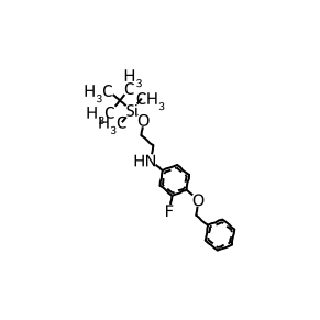 CC(C)(C)[Si](C)(C)OCCNc1ccc(OCc2ccccc2)c(F)c1